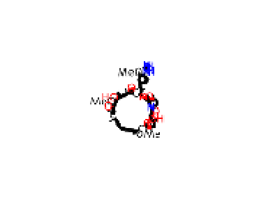 COC1C(=O)[C@@H](C)C[C@H](C)/C=C/C=C/C=C(\C)[C@@H](OC)C[C@@H]2CCC(C)C(O)(O2)C(=O)C(=O)N2CCCC[C@H]2C(=O)O[C@H]([C@H](C)CC2CC[C@H](n3cnnn3)[C@H](OC)C2)CC(=O)[C@H](C)/C=C(\C)[C@H]1O